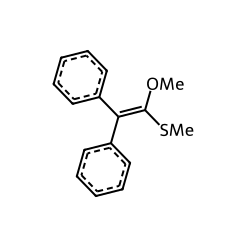 COC(SC)=C(c1ccccc1)c1ccccc1